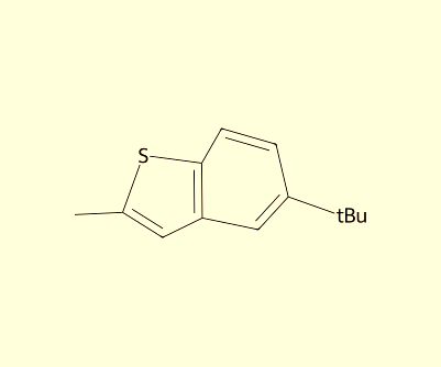 Cc1cc2cc(C(C)(C)C)ccc2s1